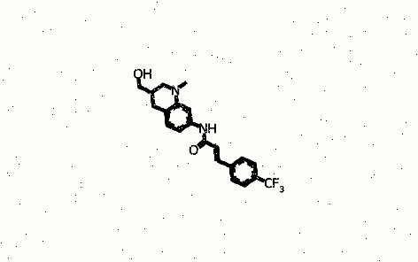 CN1CC(CO)Cc2ccc(NC(=O)C=Cc3ccc(C(F)(F)F)cc3)cc21